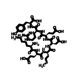 CSCC[C@H](NC(=O)[C@H](CCC(=O)O)NC(=O)[C@@H](N)CCCCN)C(=O)N[C@@H](CC(=O)O)C(=O)N[C@@H](CCC(=O)O)C(=O)N[C@@H](CCCNC(=N)N)C(=O)N[C@@H](Cc1ccc(O)cc1)C(=O)O